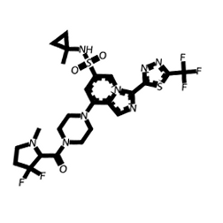 CN1CCC(F)(F)C1C(=O)N1CCN(c2cc(S(=O)(=O)NC3(C)CC3)cn3c(-c4nnc(C(F)(F)F)s4)ncc23)CC1